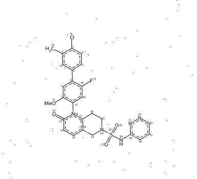 COc1cc(-c2ccc(Cl)c(C)c2)c(F)cc1-n1c2c(ccc1=O)CN(S(=O)(=O)Nc1cccnn1)CC2